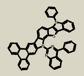 c1ccc(-c2nc(-n3c4cc5c6ccccc6c6ccccc6c5cc4c4ccc5c(sc6c7ccccc7n(-c7ccccc7)c56)c43)nc3ccccc23)cc1